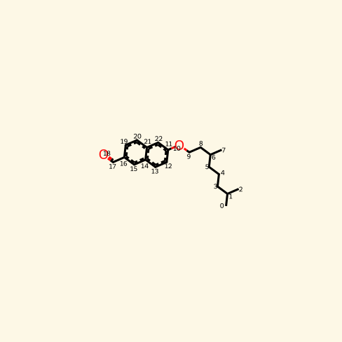 CC(C)CCCC(C)CCOc1ccc2cc(C=O)ccc2c1